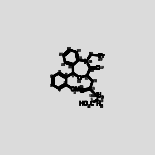 CC(=O)O.COc1ccccc1C1OC(CC(N)=O)C(=O)N(CC(C)C)c2ccccc21